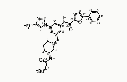 Cc1cn(-c2cc(CN3CCC[C@H](NC(=O)OC(C)(C)C)C3)cc(NC(=O)c3ncc(-c4ccccc4)o3)c2)cn1